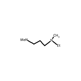 [CH2]CN(C)CCCNC